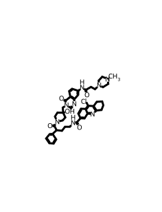 CN1CCN(CCC(=O)Nc2ccc3c(=O)n(CC4(O)CCN(C(=O)C(CCCNC(=O)c5ccc6c(Cl)c7c(nc6c5)CCCC7)c5ccccc5)CC4)cnc3c2)CC1